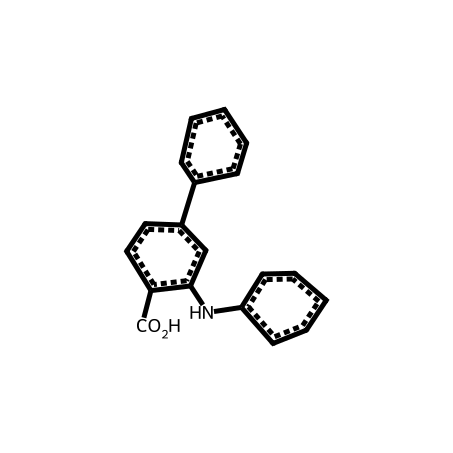 O=C(O)c1ccc(-c2ccccc2)cc1Nc1ccccc1